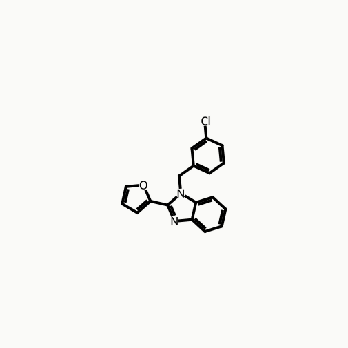 Clc1cccc(Cn2c(-c3ccco3)nc3ccccc32)c1